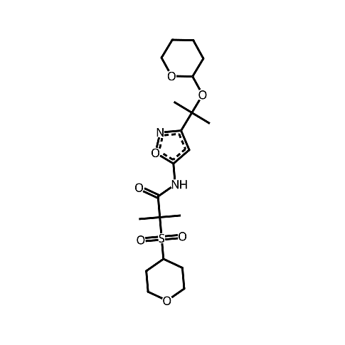 CC(C)(OC1CCCCO1)c1cc(NC(=O)C(C)(C)S(=O)(=O)C2CCOCC2)on1